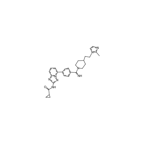 Cc1nccn1CCC1CCN(C(=N)c2ccc(-c3cccc4nc(NC(=O)C5CC5)nn34)cc2)CC1